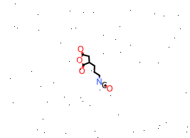 O=C=NCCCC1CC(=O)OC1=O